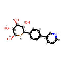 O[C@@H]1[C@@H](O)[C@H](O)C(c2ccc(-c3cccnc3)cc2)S[C@H]1O